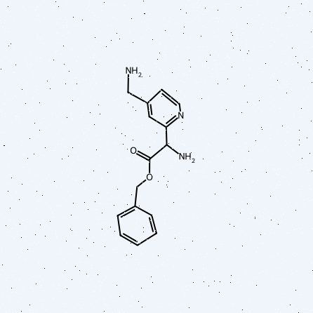 NCc1ccnc(C(N)C(=O)OCc2ccccc2)c1